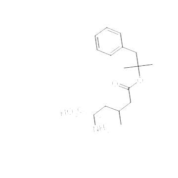 CC(CC(=O)OC(C)(C)Cc1ccccc1)C[C@H](N)C(=O)O